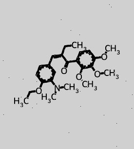 CCOc1ccc(C=C(CC)C(=O)c2ccc(OC)c(OC)c2OC)cc1N(C)C